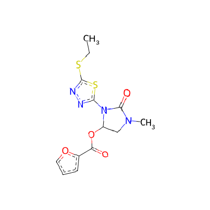 CCSc1nnc(N2C(=O)N(C)CC2OC(=O)c2ccco2)s1